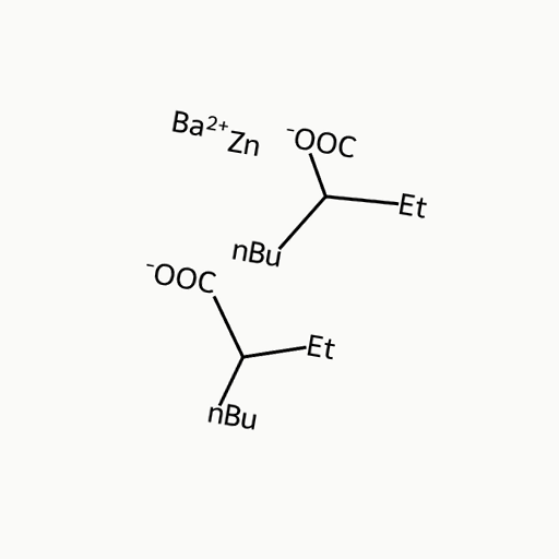 CCCCC(CC)C(=O)[O-].CCCCC(CC)C(=O)[O-].[Ba+2].[Zn]